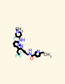 CCc1ccc(C(=O)NCC#Cc2nn3c(N[C@@H]4CCN(C)C[C@@H]4F)cccc3c2CC(F)(F)F)cn1